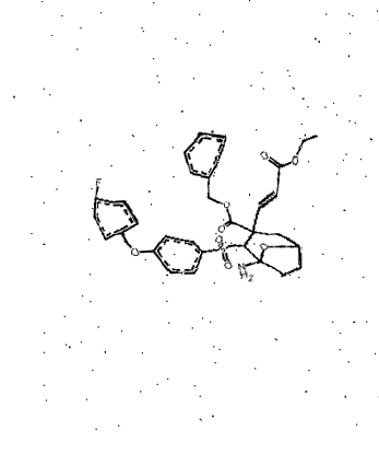 CCOC(=O)C=CC1(C(=O)OCc2ccccc2)CC2CCC(N)(O2)C1S(=O)(=O)c1ccc(Oc2ccc(F)cc2)cc1